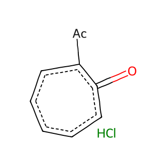 CC(=O)c1cccccc1=O.Cl